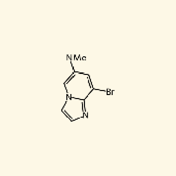 CNc1cc(Br)c2nccn2c1